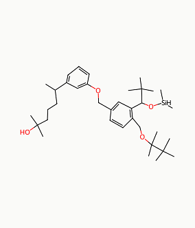 CC(CCCC(C)(C)O)c1cccc(OCc2ccc(COC(C)(C)C(C)(C)C)c(C(O[SiH](C)C)C(C)(C)C)c2)c1